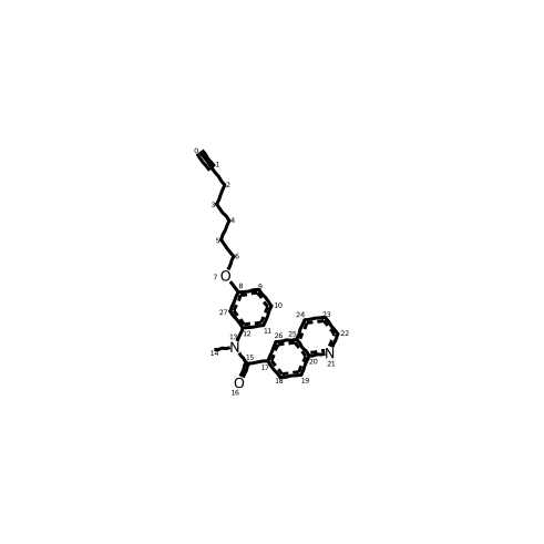 C#CCCCCCOc1cccc(N(C)C(=O)c2ccc3ncccc3c2)c1